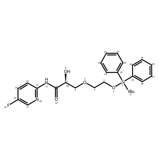 CC(C)(C)[Si](OCCOC[C@H](O)C(=O)Nc1ccc(F)cn1)(c1ccccc1)c1ccccc1